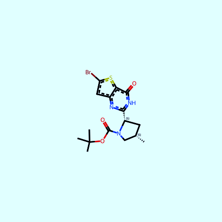 C[C@H]1C[C@@H](c2nc3cc(Br)sc3c(=O)[nH]2)N(C(=O)OC(C)(C)C)C1